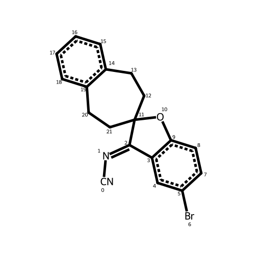 N#CN=C1c2cc(Br)ccc2OC12CCc1ccccc1CC2